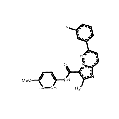 COC1=CC=C(NC(=O)c2c(C)nc3ccc(-c4cccc(F)c4)nn23)NN1